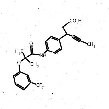 CC#CC(CC(=O)O)c1ccc(NC(=O)C(C)(C)Oc2cccc(C(F)(F)F)c2)cc1